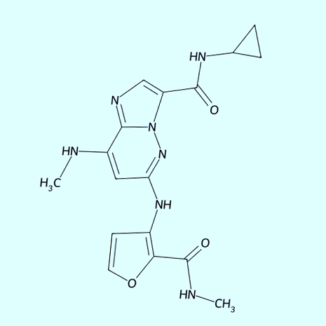 CNC(=O)c1occc1Nc1cc(NC)c2ncc(C(=O)NC3CC3)n2n1